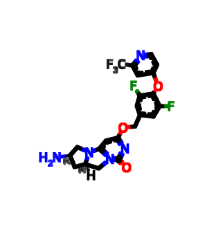 N[C@@H]1C[C@@H]2Cn3c(cc(OCc4cc(F)c(Oc5ccnc(C(F)(F)F)c5)c(F)c4)nc3=O)N2C1